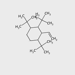 C=CC1C(C(C)(C)C)[CH]CC(C(C)(C)C)C1C(C)(C)C